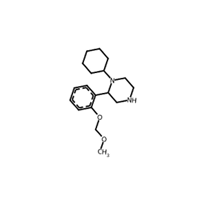 COCOc1ccccc1C1CNCCN1C1CCCCC1